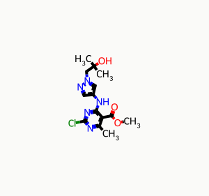 COC(=O)c1c(C)nc(Cl)nc1Nc1cnn(CC(C)(C)O)c1